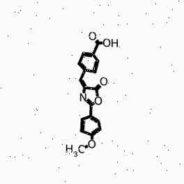 COc1ccc(C2=NC(=Cc3ccc(C(=O)O)cc3)C(=O)O2)cc1